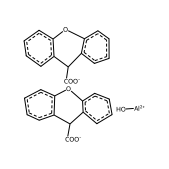 O=C([O-])C1c2ccccc2Oc2ccccc21.O=C([O-])C1c2ccccc2Oc2ccccc21.[OH][Al+2]